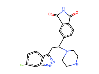 O=C1NC(=O)c2cc(C(Cc3n[nH]c4cc(F)ccc34)N3CCNCC3)ccc21